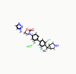 Cl.N#CC1(c2c(F)cc(-c3ccc(N4C[C@H](Cn5ccnn5)OC4=O)cc3F)cc2F)C2CNCC21